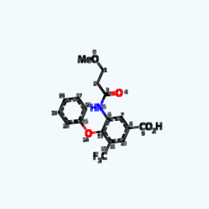 COCCC(=O)Nc1cc(C(=O)O)cc(C(F)(F)F)c1Oc1ccccc1